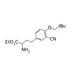 CCOC(=O)C(N)CCc1ccc(OCC(C)(C)C)c(C#N)c1